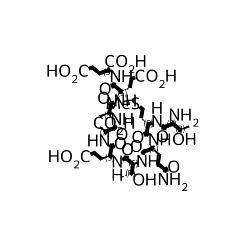 CSCC[C@H](NC(=O)[C@@H](N)[C@@H](C)O)C(=O)N[C@@H](CCC(N)=O)C(=O)N[C@H](C(=O)N[C@@H](CCC(=O)O)C(=O)N[C@@H](C)C(=O)N[C@@H](CC(=O)O)C(=O)N[C@@H](CCC(=O)O)C(=O)N[C@@H](CCC(=O)O)C(=O)O)[C@@H](C)O